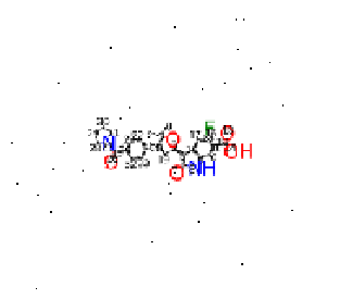 CC1(C)O/C(=C2/C(=O)Nc3cc(C(=O)O)c(F)cc32)C=C1c1ccc(C(=O)N2CCCC2)cc1